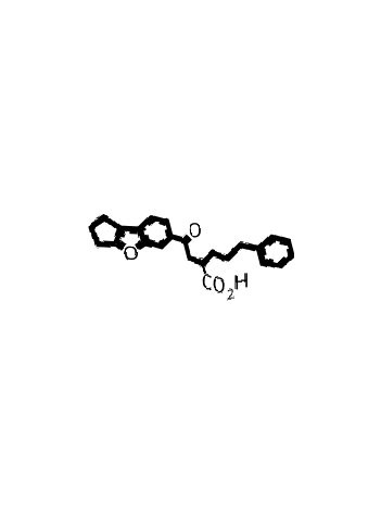 O=C(C[C@@H](CCCc1ccccc1)C(=O)O)c1ccc2c3c(oc2c1)CCC3